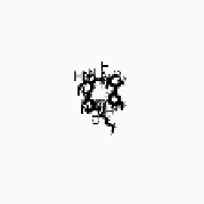 CCCCC(=O)Nc1cncc(-c2cc3c(-c4nc5c(-c6cc(O)cc(F)c6)cncc5[nH]4)n[nH]c3cn2)c1